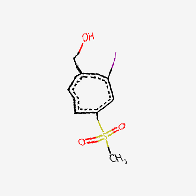 CS(=O)(=O)c1ccc(CO)c(I)c1